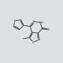 Cc1onc2c(=O)[nH]nc(-c3ccsc3)c12